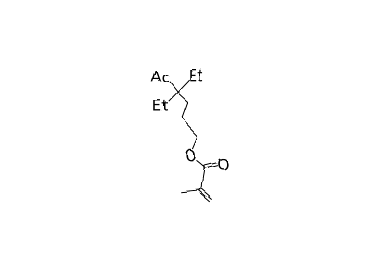 C=C(C)C(=O)OCCCC(CC)(CC)C(C)=O